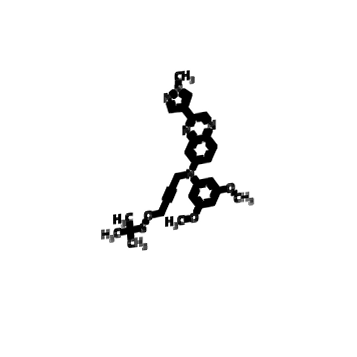 COc1cc(OC)cc(N(CC#CCOSC(C)(C)C)c2ccc3ncc(-c4cnn(C)c4)nc3c2)c1